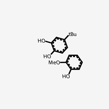 CC(C)(C)c1ccc(O)c(O)c1.COc1ccccc1O